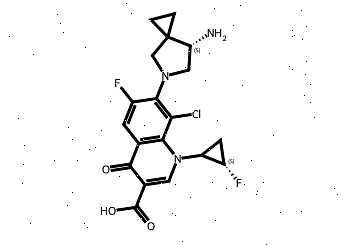 N[C@@H]1CN(c2c(F)cc3c(=O)c(C(=O)O)cn(C4C[C@@H]4F)c3c2Cl)CC12CC2